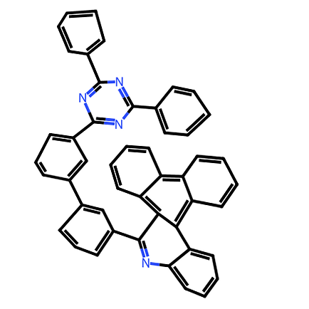 c1ccc(-c2nc(-c3ccccc3)nc(-c3cccc(-c4cccc(-c5nc6ccccc6c6c7ccccc7c7ccccc7c56)c4)c3)n2)cc1